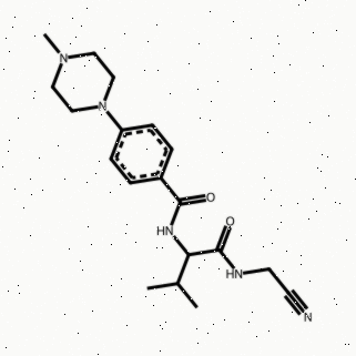 CC(C)C(NC(=O)c1ccc(N2CCN(C)CC2)cc1)C(=O)NCC#N